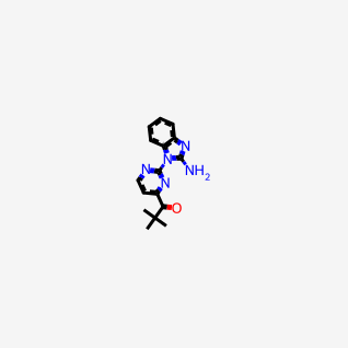 CC(C)(C)C(=O)c1ccnc(-n2c(N)nc3ccccc32)n1